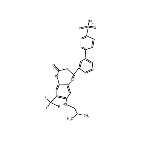 CC(C)CNc1cc2c(cc1C(F)(F)F)NC(=O)CC(c1cccc(-c3ccc(S(N)(=O)=O)cc3)c1)=N2